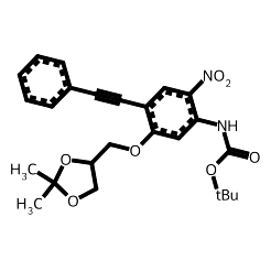 CC(C)(C)OC(=O)Nc1cc(OCC2COC(C)(C)O2)c(C#Cc2ccccc2)cc1[N+](=O)[O-]